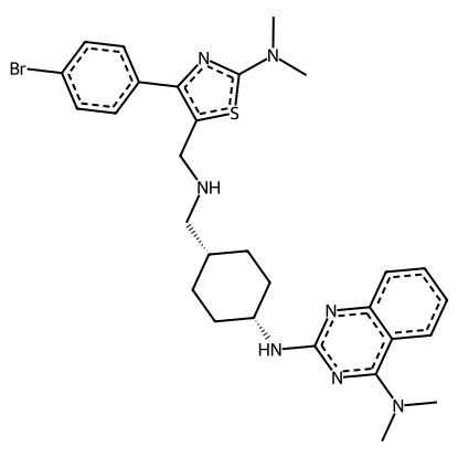 CN(C)c1nc(-c2ccc(Br)cc2)c(CNC[C@H]2CC[C@@H](Nc3nc(N(C)C)c4ccccc4n3)CC2)s1